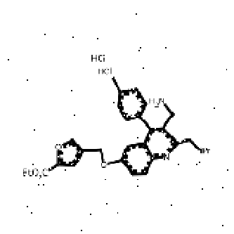 CCOC(=O)c1cc(COc2ccc3nc(CC(C)C)c(CN)c(-c4ccc(C)cc4)c3c2)co1.Cl.Cl